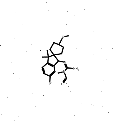 COC1CCC2(CC1)C(/N=C(/N)N(C)C=O)c1cc(Br)ccc1C2(C)C